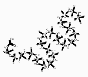 CCC(C)C(=O)O[Si](C)(C)O[Si](C)(C)O[Si](C)(C)O[Si](C)(C)O[Si](C)(C)O[Si](C)(C)O[Si](C)(C)O[Si](C)(C)O[Si](C)(C)O[Si](C)(C)O[Si](C)(C)O[Si](C)(C)O[Si](C)(C)O[Si](C)(C)O[Si](C)(C)O[Si](C)(C)O[Si](C)(C)O[Si](C)(C)O[Si](C)(C)O[Si](C)(C)O[Si](C)(C)C